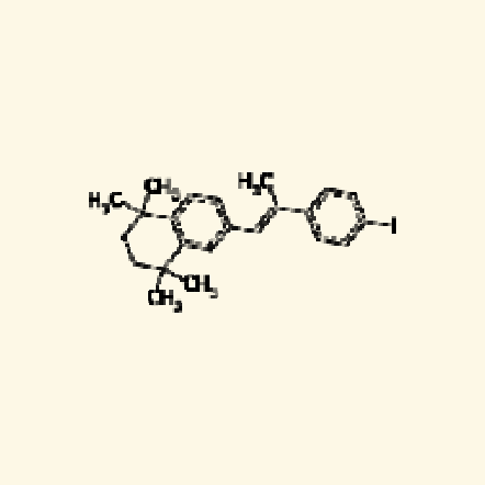 C/C(=C\c1ccc2c(c1)C(C)(C)CCC2(C)C)c1ccc(I)cc1